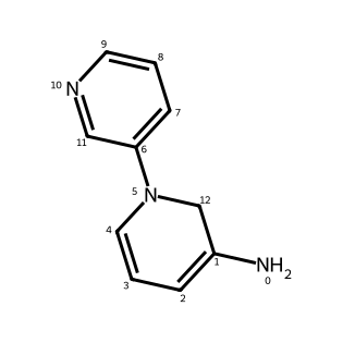 NC1=CC=CN(c2cccnc2)C1